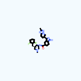 Cc1nc2ccc(-c3n[nH]c4ccc(C(=O)N[C@@H]5C[C@H](Cc6c(F)cccc6F)CN(C)C5)cc34)cn2n1